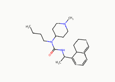 CCCCN(C(=O)NC(C)C1=CC=CC2=CCCCC21)C1CCN(C)CC1